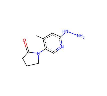 Cc1cc(NN)ncc1N1CCCC1=O